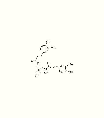 CC(C)(C)c1cc(CCC(=O)OCC(CO)(CO)COC(=O)CCc2ccc(O)c(C(C)(C)C)c2)ccc1O